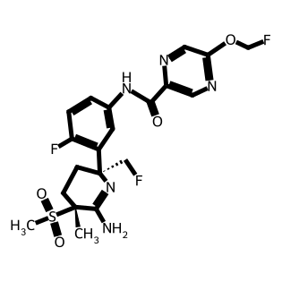 C[C@@]1(S(C)(=O)=O)CC[C@@](CF)(c2cc(NC(=O)c3cnc(OCF)cn3)ccc2F)N=C1N